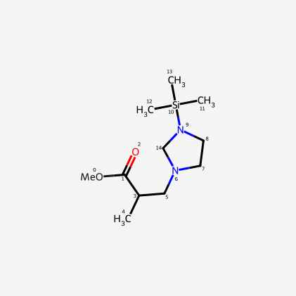 COC(=O)C(C)CN1CCN([Si](C)(C)C)C1